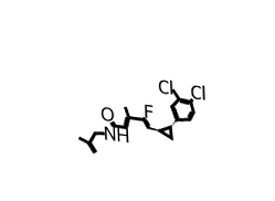 C=C(C)CNC(=O)C=C(C)C(F)=C[C@@H]1C[C@H]1c1ccc(Cl)c(Cl)c1